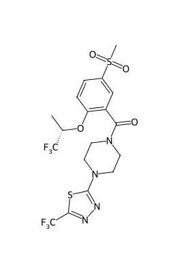 C[C@H](Oc1ccc(S(C)(=O)=O)cc1C(=O)N1CCN(c2nnc(C(F)(F)F)s2)CC1)C(F)(F)F